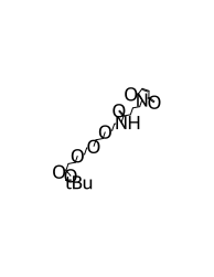 CC(C)(C)OC(=O)CCOCCOCCOCCNC(=O)CCCN1C(=O)C=CC1=O